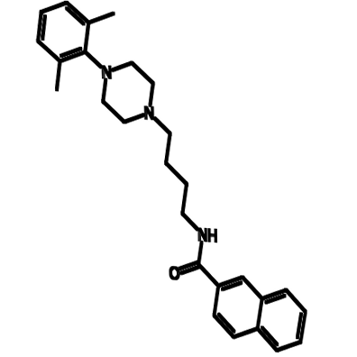 Cc1cccc(C)c1N1CCN(CCCCNC(=O)c2ccc3ccccc3c2)CC1